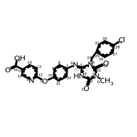 Cn1c(=O)[nH]/c(=N\c2ccc(Oc3ccc(C(=O)O)cn3)cc2)n(Cc2ccc(Cl)cc2)c1=O